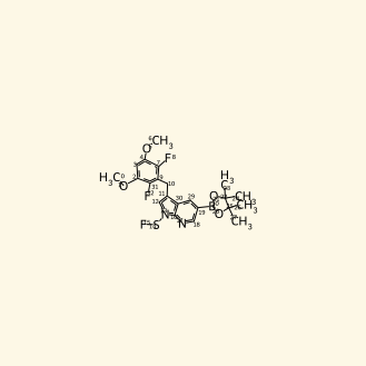 COc1cc(OC)c(F)c(Cc2cn(SF)c3ncc(B4OC(C)(C)C(C)(C)O4)cc23)c1F